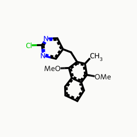 COc1c(C)c(Cc2cnc(Cl)nc2)c(OC)c2ccccc12